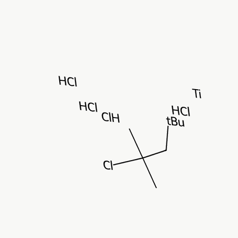 CC(C)(C)CC(C)(C)Cl.Cl.Cl.Cl.Cl.[Ti]